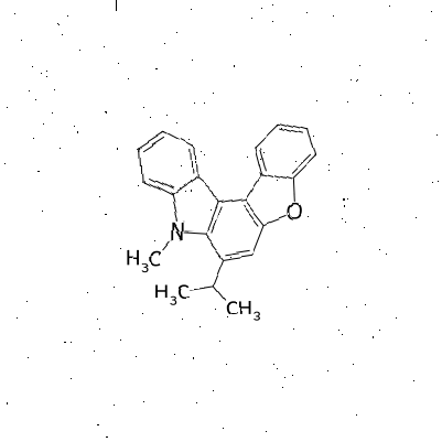 CC(C)c1cc2oc3ccccc3c2c2c3ccccc3n(C)c12